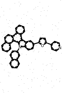 c1ccc2cc(-n3c4ccc(-c5ccc(-c6ccncc6)o5)cc4c4c5ccccc5c5ccc6ccccc6c5c43)ccc2c1